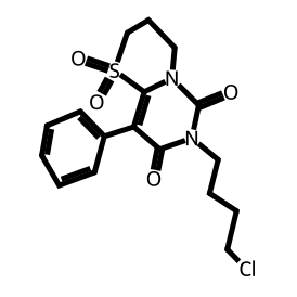 O=c1c(-c2ccccc2)c2n(c(=O)n1CCCCCl)CCCS2(=O)=O